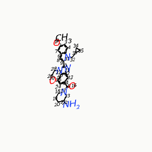 COc1ccc2c(c1)cc(-c1nc3cc(C(=O)N4CCCC(N)C4)cc4c3n1CCO4)n2CC1CC1